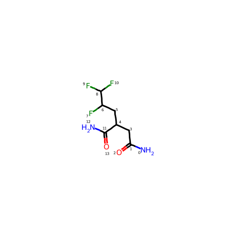 NC(=O)CC(CC(F)C(F)F)C(N)=O